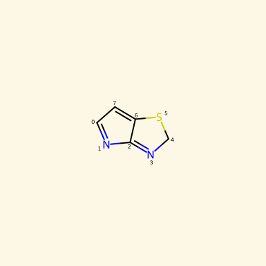 C1=NC2=NCSC2=C1